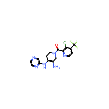 NC1=C(Nc2cnccn2)CCN(C(=O)c2nccc(C(F)(F)F)c2Cl)C1